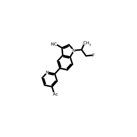 CC(=O)c1ccnc(-c2ccc3c(c2)c(C#N)cn3C(C)CF)c1